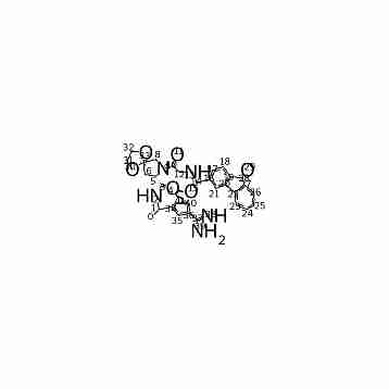 CC(NC(=O)[C@@H]1CC2(CN1C(=O)CNC(=O)c1ccc3c(c1)-c1ccccc1C3=O)OCCO2)c1cc(C(=N)N)cs1